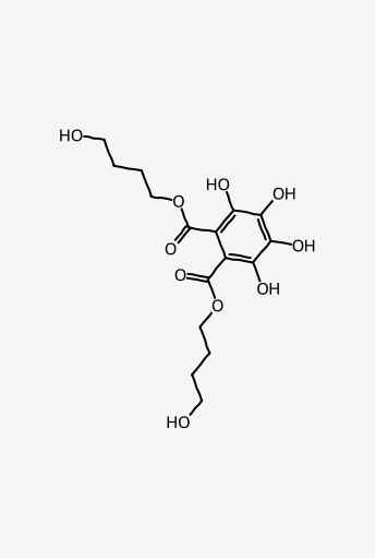 O=C(OCCCCO)c1c(O)c(O)c(O)c(O)c1C(=O)OCCCCO